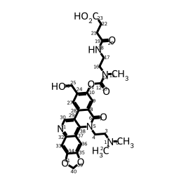 CN(C)CCn1c(=O)c2cc(OC(=O)N(C)CCNC(=O)CCC(=O)O)c(CO)cc2c2cnc3cc4c(cc3c21)OCO4